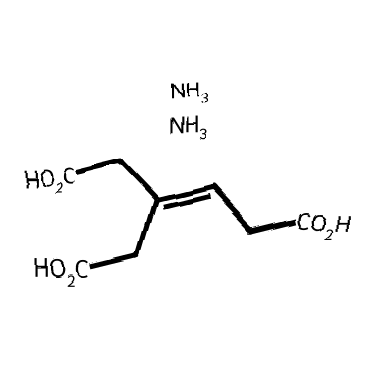 N.N.O=C(O)CC=C(CC(=O)O)CC(=O)O